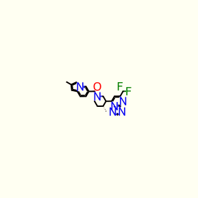 Cc1cc2ccc(C(=O)N3CC[C@@H](C)C(c4cc(C(F)F)nc5ncnn45)C3)cn2c1